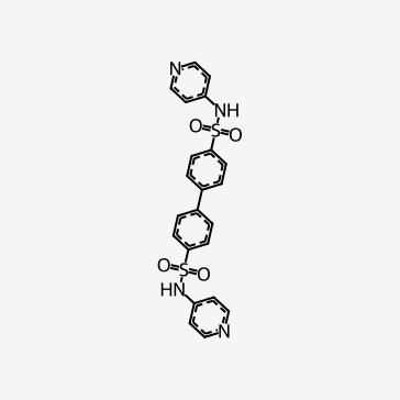 O=S(=O)(Nc1ccncc1)c1ccc(-c2ccc(S(=O)(=O)Nc3ccncc3)cc2)cc1